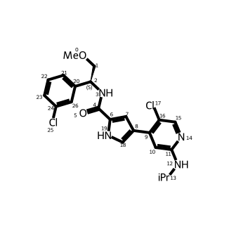 COC[C@@H](NC(=O)c1cc(-c2cc(NC(C)C)ncc2Cl)c[nH]1)c1cccc(Cl)c1